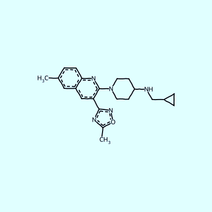 Cc1ccc2nc(N3CCC(NCC4CC4)CC3)c(-c3noc(C)n3)cc2c1